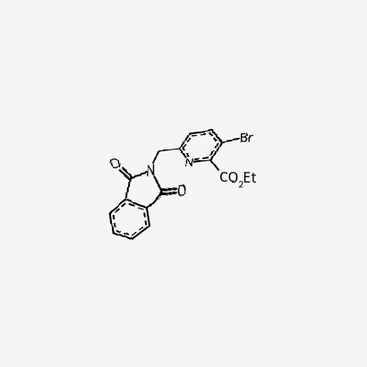 CCOC(=O)c1nc(CN2C(=O)c3ccccc3C2=O)ccc1Br